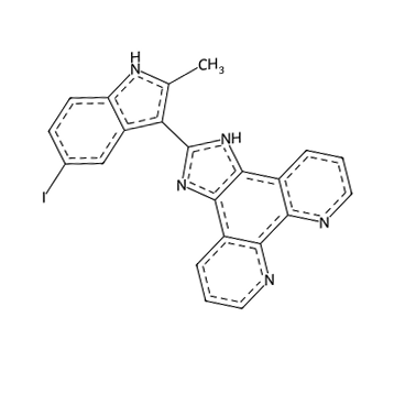 Cc1[nH]c2ccc(I)cc2c1-c1nc2c3cccnc3c3ncccc3c2[nH]1